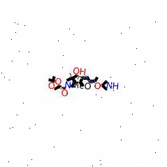 C=C(/C=C\C(OC)=C(/C)OC1CNC1)[C@@H]1CN(C(=O)[C@@H]2COC(C)(C)O2)C[C@@]1(C)[C@@H](C)O